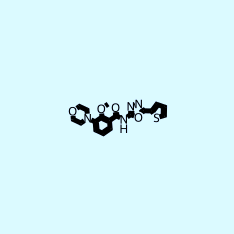 COc1c(C(=O)Nc2nnc(-c3cccs3)o2)cccc1N1CCOCC1